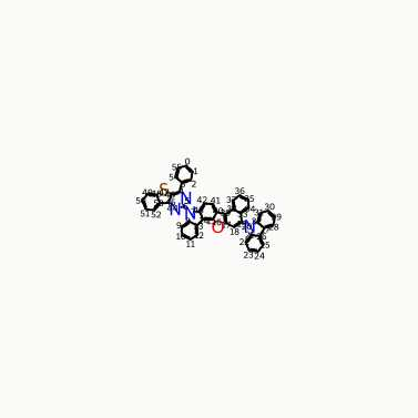 c1ccc(-c2nc(-n3c4ccccc4c4c5oc6cc(-n7c8ccccc8c8ccccc87)c7ccccc7c6c5ccc43)nc3c2sc2ccccc23)cc1